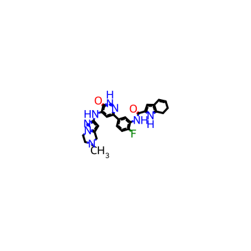 CN1CCn2nc(Nc3cc(-c4ccc(F)c(NC(=O)c5cc6c([nH]5)CCC=C6)c4)n[nH]c3=O)cc2C1